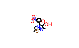 CC1=C(C(=O)O)C(c2cccc([N+](=O)[O-])c2)N2CCC(C)SC2=N1